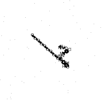 COCCOCCOCCOCCOCCOCCOCCOCCCOc1nn(C2CCC(N3[C@@H]4CC[C@H]3COC4)CC2)cc1Nc1ncc(-c2ccc(Cl)c(O[C@@H](C)Cn3cncn3)c2)cn1